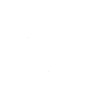 Cc1cc(-c2cncc(C(C)O)c2)nc2c1C(=O)N(c1cnn(CC(F)F)c1)C2(C)C